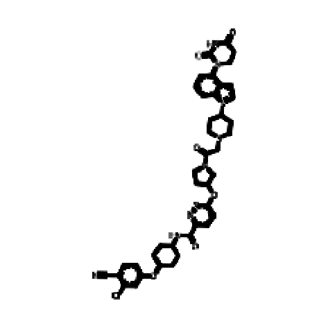 N#Cc1ccc(OC2CCC(NC(=O)c3ccc(OC4CCN(C(=O)CN5CCC(n6ccc7c(N8CCC(=O)NC8=O)cccc76)CC5)C4)nn3)CC2)cc1Cl